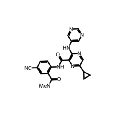 CNC(=O)c1cc(C#N)ccc1NC(=O)c1nc(C2CC2)cnc1Nc1cncnc1